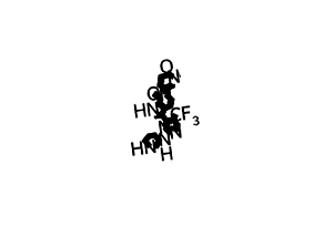 Cn1cc(-n2ccc3c(-c4nc(N[C@H]5CCCNC5)ncc4C(F)(F)F)c[nH]c3c2=O)ccc1=O